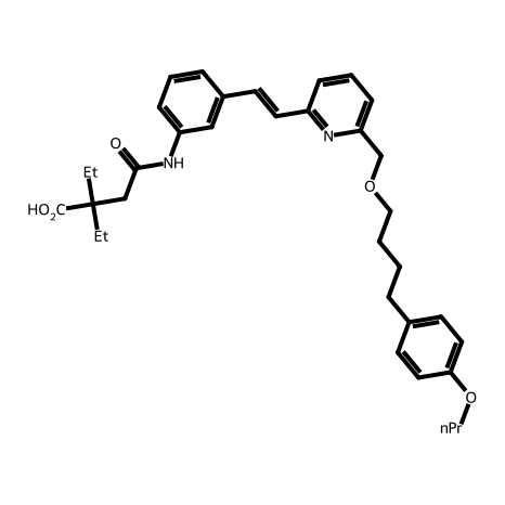 CCCOc1ccc(CCCCOCc2cccc(C=Cc3cccc(NC(=O)CC(CC)(CC)C(=O)O)c3)n2)cc1